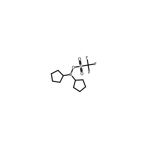 O=S(=O)(OB(C1CCCC1)C1CCCC1)C(F)(F)F